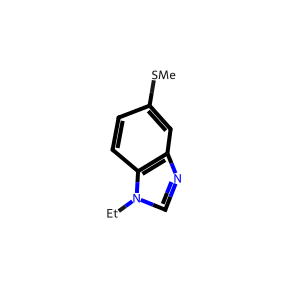 CCn1cnc2cc(SC)ccc21